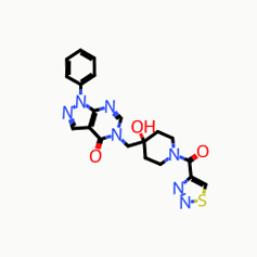 O=C(c1csnn1)N1CCC(O)(Cn2cnc3c(cnn3-c3ccccc3)c2=O)CC1